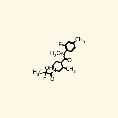 Cc1ccc(N(C)C(=O)C2CCN(C(=O)C(C)(O)F)CC2C)c(F)c1